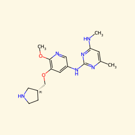 CNc1cc(C)nc(Nc2cnc(OC)c(OC[C@@H]3CCNC3)c2)n1